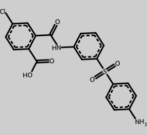 Nc1ccc(S(=O)(=O)c2cccc(NC(=O)c3cc(Cl)ccc3C(=O)O)c2)cc1